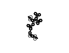 C=CC(=O)Oc1ccc2oc3ccc(-c4ccc5c(c4)c4ccccc4n5-c4cccc(-c5cc(OC(=O)C=C)cc6c5oc5c(-n7c8ccccc8c8ccccc87)cc(-n7c8ccccc8c8ccccc87)cc56)c4)cc3c2c1